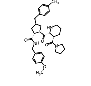 COc1ccc(CNC(=O)[C@@H]2C[C@@H](Cc3ccc(C)cc3)CN2C(=O)[C@@H]2NCCC[C@@H]2C(=O)N2CCCC2)cc1